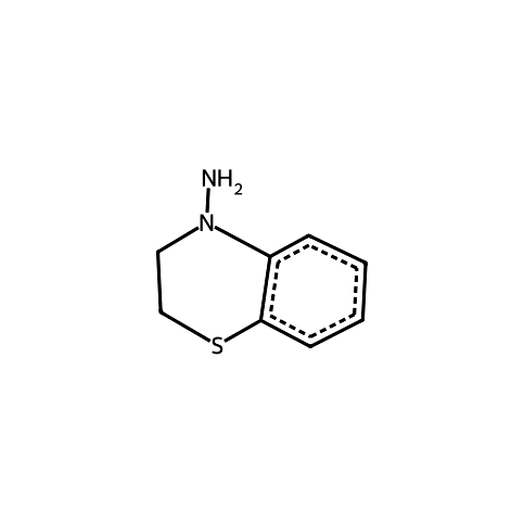 NN1CCSc2ccccc21